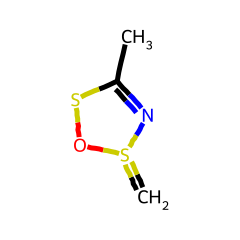 C=S1N=C(C)SO1